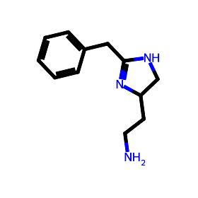 NCCC1CNC(Cc2ccccc2)=N1